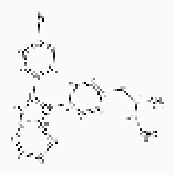 CCc1ccc(-c2nc3cccnc3n2-c2ccc(CC(N)OC=O)cc2)cc1